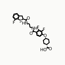 O=C(NCCNC(=O)C1Cc2cccc(F)c2S1)c1ccc(O[C@H]2CC[C@@H](C(=O)O)CC2)c(F)c1F